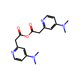 CN(C)c1ccnc(CC(=O)OC(=O)Cc2cc(N(C)C)ccn2)c1